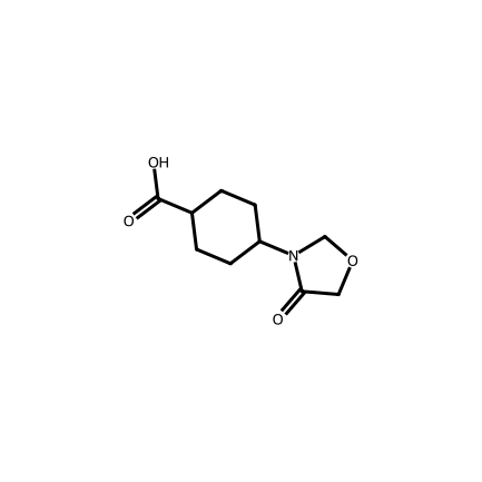 O=C(O)C1CCC(N2COCC2=O)CC1